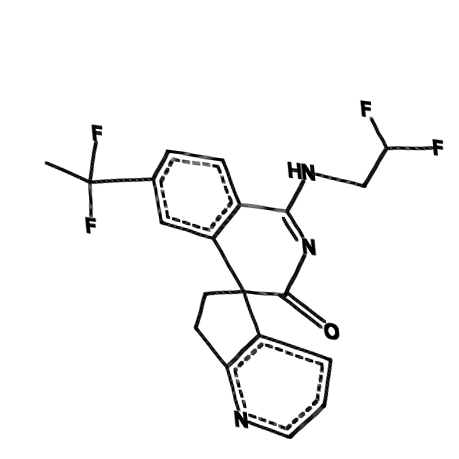 CC(F)(F)c1ccc2c(c1)C1(CCc3ncccc31)C(=O)N=C2NCC(F)F